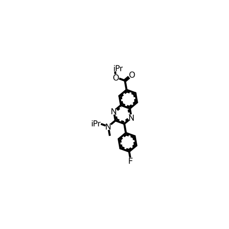 CC(C)OC(=O)c1ccc2nc(-c3ccc(F)cc3)c(N(C)C(C)C)nc2c1